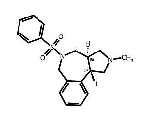 CN1C[C@@H]2CN(S(=O)(=O)c3ccccc3)Cc3ccccc3[C@H]2C1